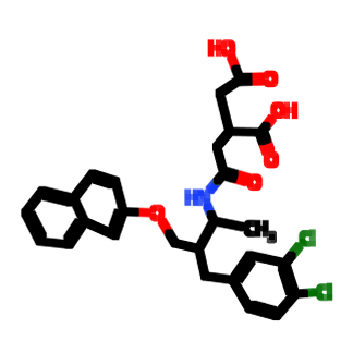 CC(NC(=O)CC(CC(=O)O)C(=O)O)C(COc1ccc2ccccc2c1)Cc1ccc(Cl)c(Cl)c1